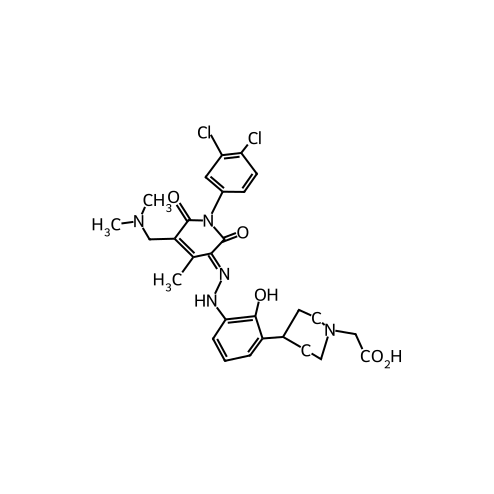 CC1=C(CN(C)C)C(=O)N(c2ccc(Cl)c(Cl)c2)C(=O)C1=NNc1cccc(C2CCN(CC(=O)O)CC2)c1O